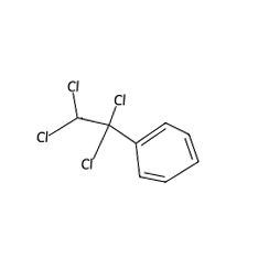 Cl[C](Cl)C(Cl)(Cl)c1ccccc1